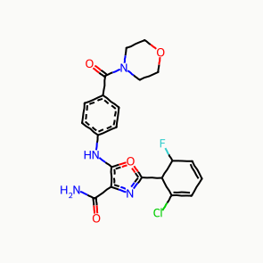 NC(=O)c1nc(C2C(Cl)=CC=CC2F)oc1Nc1ccc(C(=O)N2CCOCC2)cc1